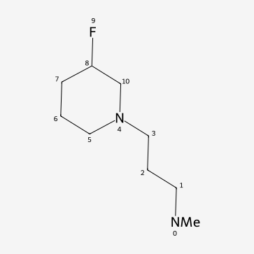 CNCCCN1CCCC(F)C1